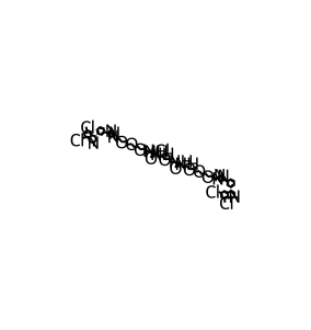 CN1Cc2c(Cl)cc(Cl)cc2[C@H](c2cccc(-c3cn(CCOCCOCCOCCNC(=O)NCCOCCNC(=O)NCCOCCOCCOCCn4cc(-c5cccc([C@@H]6CN(C)Cc7c(Cl)cc(Cl)cc76)c5)nn4)nn3)c2)C1.Cl